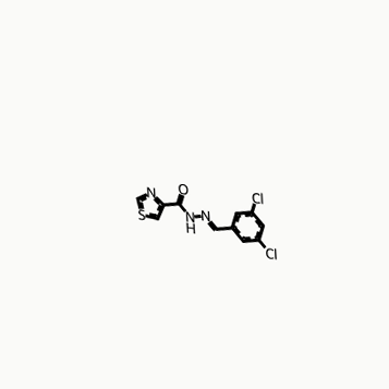 O=C(NN=Cc1cc(Cl)cc(Cl)c1)c1cscn1